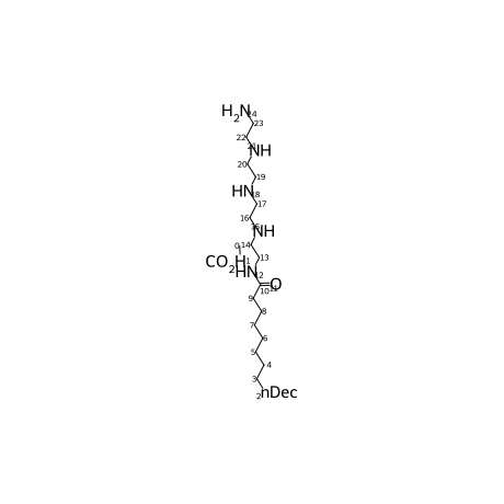 CC(=O)O.CCCCCCCCCCCCCCCCCC(=O)NCCNCCNCCNCCN